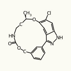 C[C@@H]1CCNC(=O)OCc2cccc(c2)-c2n[nH]c3cc(Cl)c(cc23)O1